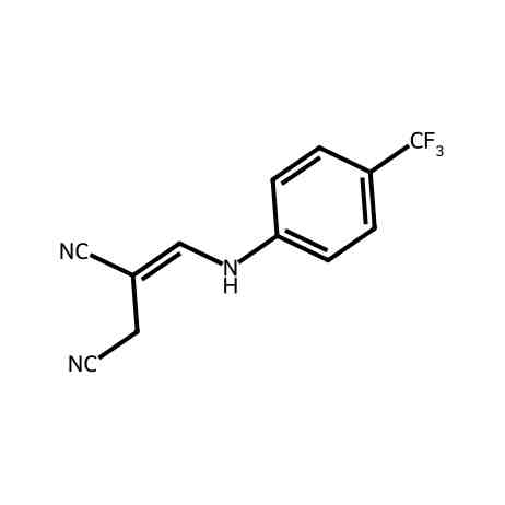 N#CC/C(C#N)=C\Nc1ccc(C(F)(F)F)cc1